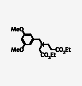 CCOC(=O)CCN(CC(=O)OCC)Cc1cc(OC)cc(OC)c1